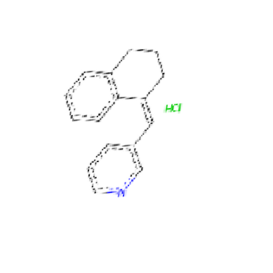 C(=C1\CCCc2ccccc21)/c1cccnc1.Cl